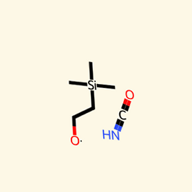 C[Si](C)(C)CC[O].N=C=O